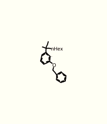 CCCCCCC(C)(C)c1[c]c(OCc2ccccc2)ccc1